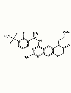 COCCN1C(=O)COc2cc3nc(C)nc(N[C@H](C)c4cccc(C(C)(F)F)c4F)c3cc21